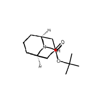 CC(C)(C)OC(=O)N1[C@@H]2CCC[C@H]1CNC2